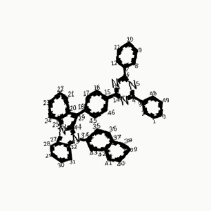 c1ccc(-c2nc(-c3ccccc3)nc(-c3ccc(-c4c5ccccc5n5c6ccccc6n(-c6ccc7ccccc7c6)c45)cc3)n2)cc1